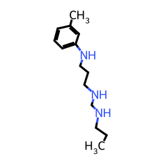 CCCNCNCCCNc1cccc(C)c1